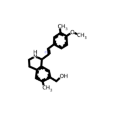 COc1ccc(/C=C/C2NCCc3cc(C)c(CO)cc32)cc1C